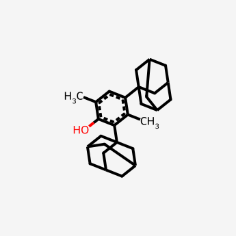 Cc1cc(C23CC4CC(CC(C4)C2)C3)c(C)c(C23CC4CC(CC(C4)C2)C3)c1O